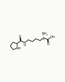 N[C@@H](CCCCNC(=O)C1CCCN1)C(=O)O